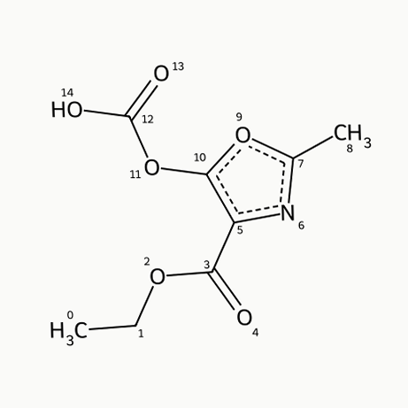 CCOC(=O)c1nc(C)oc1OC(=O)O